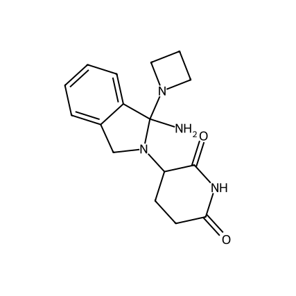 NC1(N2CCC2)c2ccccc2CN1C1CCC(=O)NC1=O